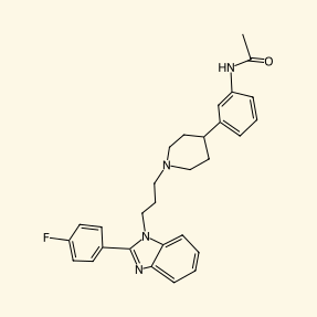 CC(=O)Nc1cccc(C2CCN(CCCn3c(-c4ccc(F)cc4)nc4ccccc43)CC2)c1